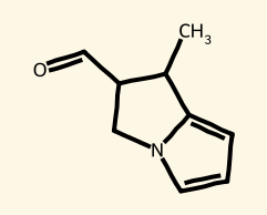 CC1c2cccn2CC1C=O